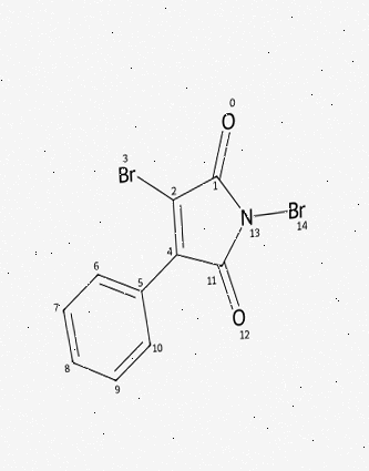 O=C1C(Br)=C(c2ccccc2)C(=O)N1Br